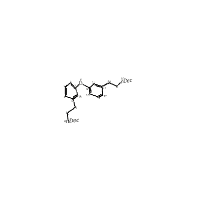 CCCCCCCCCCCCc1cccc(Oc2cccc(CCCCCCCCCCCC)c2)c1